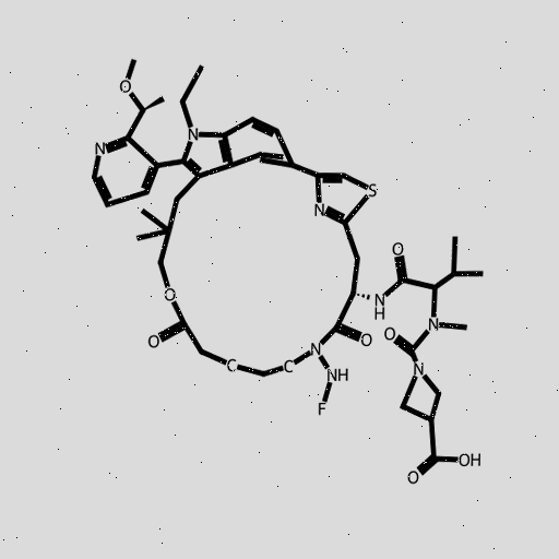 CCn1c(-c2cccnc2[C@H](C)OC)c2c3cc(ccc31)-c1csc(n1)C[C@H](NC(=O)C(C(C)C)N(C)C(=O)N1CC(C(=O)O)C1)C(=O)N(NF)CCCCC(=O)OCC(C)(C)C2